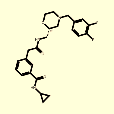 O=C(Cc1cccc(C(=O)NC2CC2)c1)NC[C@H]1CN(Cc2ccc(F)c(F)c2)CCO1